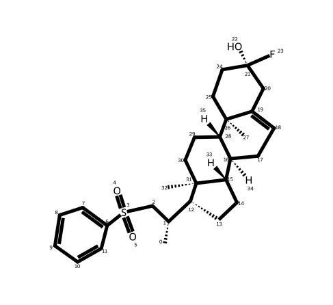 C[C@H](CS(=O)(=O)c1ccccc1)[C@H]1CC[C@H]2[C@@H]3CC=C4C[C@](O)(F)CC[C@]4(C)[C@H]3CC[C@]12C